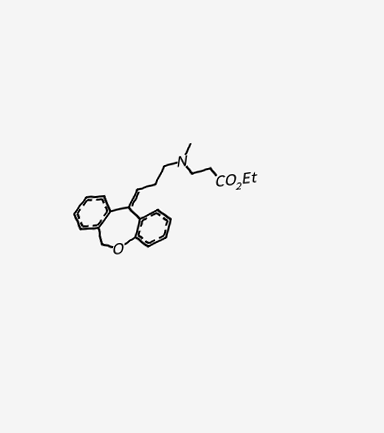 CCOC(=O)CCN(C)CCC=C1c2ccccc2COc2ccccc21